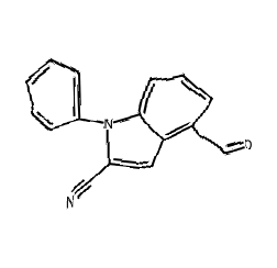 N#Cc1cc2c(C=O)cccc2n1-c1ccccc1